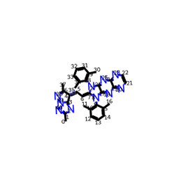 Cc1nc2/c(=C\C=C3N(c4c(C)cccc4C)c4nc5nccnc5nc4N3c3c(C)cccc3C)c(C)nn2n1